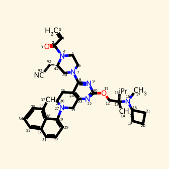 C=CC(=O)N1CCN(c2nc(OCC(C)(C(C)C)N(C)C3CCC3)nc3c2CCN(c2cccc4cccc(C)c24)C3)C[C@@H]1CC#N